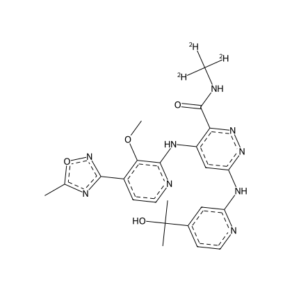 [2H]C([2H])([2H])NC(=O)c1nnc(Nc2cc(C(C)(C)O)ccn2)cc1Nc1nccc(-c2noc(C)n2)c1OC